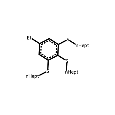 [CH2]Cc1cc(SCCCCCCC)c(SCCCCCCC)c(SCCCCCCC)c1